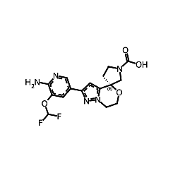 Nc1ncc(-c2cc3n(n2)CCO[C@@]32CCN(C(=O)O)C2)cc1OC(F)F